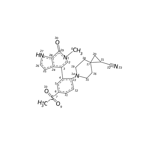 Cn1cc(-c2cc(S(C)(=O)=O)ccc2N2CCC3(CC2)CC3C#N)c2cc[nH]c2c1=O